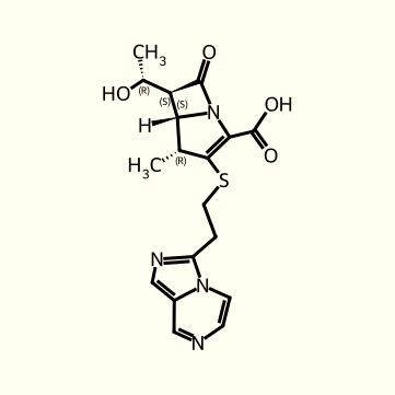 C[C@@H](O)[C@H]1C(=O)N2C(C(=O)O)=C(SCCc3ncc4cnccn34)[C@H](C)[C@H]12